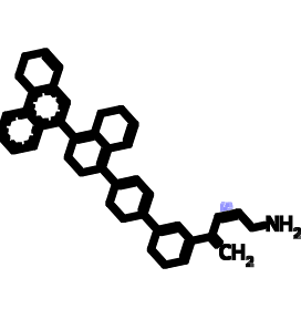 C=C(/C=C\CN)C1=CCCC(C2=CC=C(C3=C4C=CCCC4=C(c4cc5c(c6ccccc46)CCC=C5)CC3)CC2)=C1